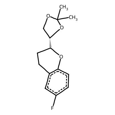 CC1(C)OC[C@@H](C2CCc3cc(F)ccc3O2)O1